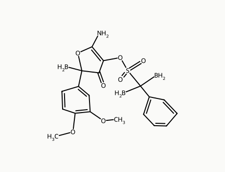 BC1(c2ccc(OC)c(OC)c2)OC(N)=C(OS(=O)(=O)C(B)(B)c2ccccc2)C1=O